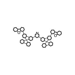 c1ccc2c(c1)-c1ccccc1C21c2ccc(-c3cncc(-c4ccc5c(c4)-c4cc(-c6cccc7c6oc6ccccc67)ccc4C54c5ccccc5-c5ccccc54)c3)cc2-c2cc(-c3cccc4c3oc3ccccc34)ccc21